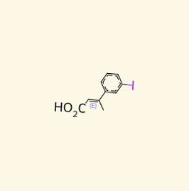 C/C(=C\C(=O)O)c1cccc(I)c1